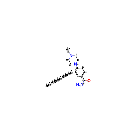 CN1CCN(c2ccc(C(N)=O)cc2)CC1.[Ar].[Ar].[Ar].[Ar].[Ar].[Ar].[Ar].[Ar].[Ar].[Ar].[Ar]